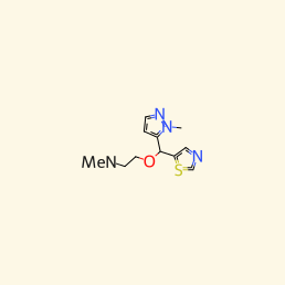 CNCCOC(c1cncs1)c1ccnn1C